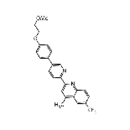 COCCOc1ccc(-c2ccc(-c3cc(C)c4cc(C(F)(F)F)ccc4n3)nc2)cc1